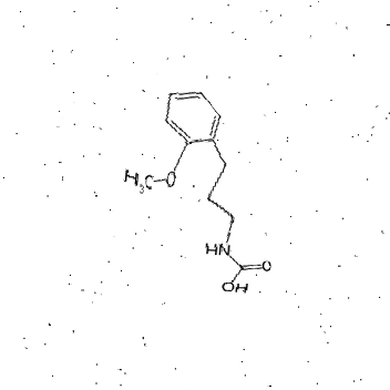 COc1ccccc1CCCNC(=O)O